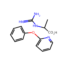 CC(NC(=N)N)C(=O)O.c1ccc(Oc2ccccn2)cc1